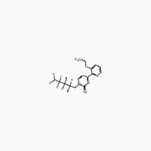 CCSc1cccnc1-c1ccn(CC(F)(F)C(F)(F)C(F)(F)C(F)F)c(=O)n1